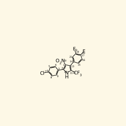 O=[N+]([O-])c1c(-c2ccc(Cl)cc2)[nH]c(C(F)(F)F)c1-c1ccc(F)c(F)c1